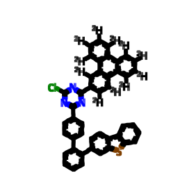 [2H]c1c([2H])c([2H])c2c(c1[2H])c1c([2H])c([2H])c([2H])c([2H])c1c1c([2H])c(-c3nc(Cl)nc(-c4ccc(-c5ccccc5-c5ccc6c(c5)sc5ccccc56)cc4)n3)c([2H])c([2H])c21